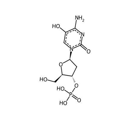 Nc1nc(=O)n([C@H]2C[C@H](OP(=O)(O)O)[C@@H](CO)O2)cc1O